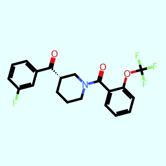 O=C(c1cccc(F)c1)[C@H]1CCCN(C(=O)c2ccccc2OC(F)(F)F)C1